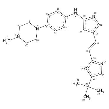 CN1CCN(c2ccc(Nc3ncc(C=Cc4ncc(C(C)(C)C)o4)s3)cc2)CC1